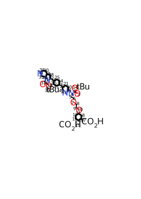 CC(C)(C)OC(=O)N(CCOCCOc1ccc(C(=O)O)c(C(=O)O)c1)c1ccc(-c2ccc(-c3cc4ccncc4n3C(=O)OC(C)(C)C)cc2)cn1